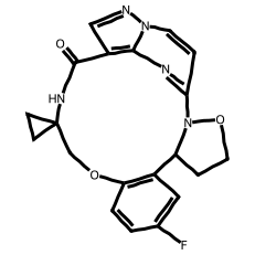 O=C1NC2(CC2)COc2ccc(F)cc2C2CCON2c2ccn3ncc1c3n2